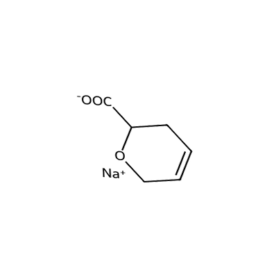 O=C([O-])C1CC=CCO1.[Na+]